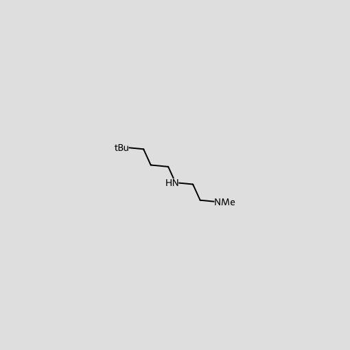 CNCCNCCCC(C)(C)C